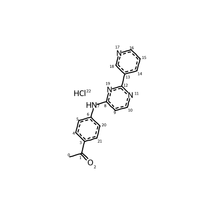 CC(=O)c1ccc(Nc2ccnc(-c3cccnc3)n2)cc1.Cl